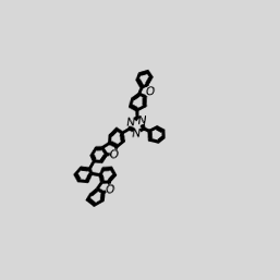 c1ccc(-c2nc(-c3ccc4c(c3)oc3ccccc34)nc(-c3ccc4c(c3)oc3cc(-c5ccccc5-c5cccc6oc7ccccc7c56)ccc34)n2)cc1